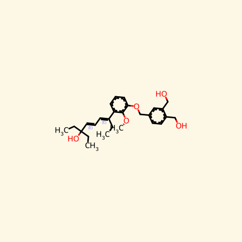 CC/C(=C\C=C\C(O)(CC)CC)c1cccc(OCc2ccc(CO)c(CO)c2)c1OC